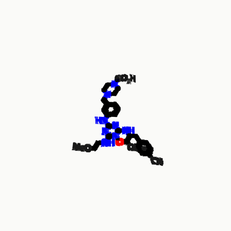 COCCNc1nc(Nc2cccc(CN3CCN(C(=O)O)CC3)c2)nc(NC(Cc2ccc(C#N)cc2)C(=O)OC)n1